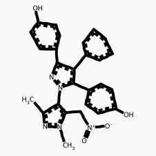 Cc1nn(C)c(C[N+](=O)[O-])c1-n1nc(-c2ccc(O)cc2)c(-c2ccccc2)c1-c1ccc(O)cc1